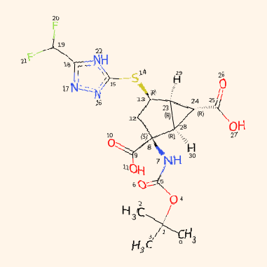 CC(C)(C)OC(=O)N[C@@]1(C(=O)O)C[C@@H](Sc2nnc(C(F)F)[nH]2)[C@H]2[C@H](C(=O)O)[C@H]21